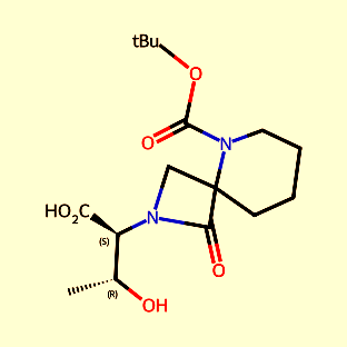 C[C@@H](O)[C@@H](C(=O)O)N1CC2(CCCCN2C(=O)OC(C)(C)C)C1=O